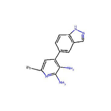 CC(C)c1cc(-c2ccc3[nH]ncc3c2)c(N)c(N)n1